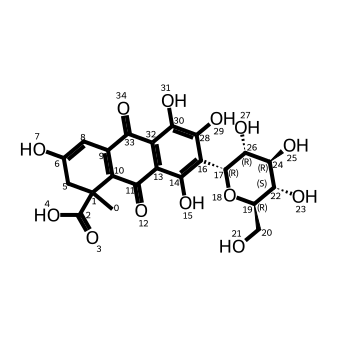 CC1(C(=O)O)CC(O)=CC2=C1C(=O)c1c(O)c([C@H]3O[C@H](CO)[C@@H](O)[C@H](O)[C@H]3O)c(O)c(O)c1C2=O